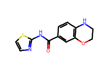 O=C(Nc1nccs1)c1ccc2c(c1)OCCN2